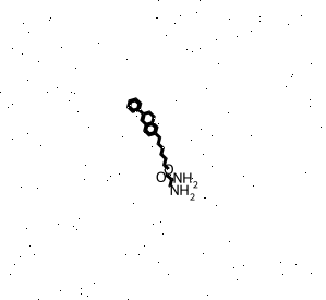 NCC(N)C(=O)OCCCCCCc1ccc2c(c1)CCC(c1ccccc1)=C2